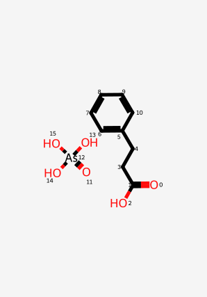 O=C(O)CCc1ccccc1.O=[As](O)(O)O